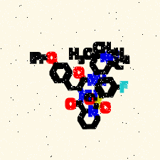 C=C1CC(NC(=O)[C@H](Cc2ccc(OC(C)C)cc2)NC(=O)[C@@H]2CCCCN2S(=O)(=O)c2cccc(F)c2)CC(C)(C)N1